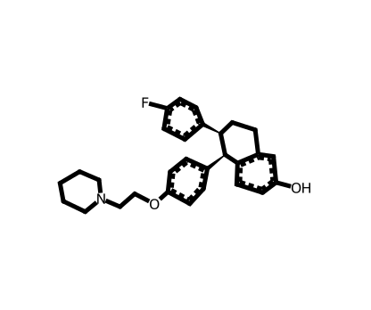 Oc1ccc2c(c1)CC[C@H](c1ccc(F)cc1)[C@@H]2c1ccc(OCCN2CCCCC2)cc1